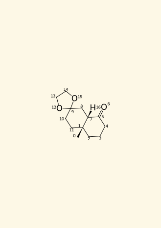 C[C@]12CCCC(=O)[C@H]1CC1(CC2)OCCO1